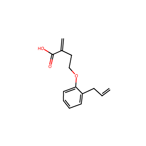 C=CCc1ccccc1OCCC(=C)C(=O)O